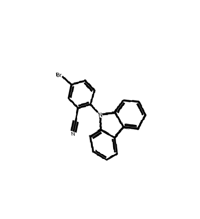 N#Cc1cc(Br)ccc1-n1c2ccccc2c2ccccc21